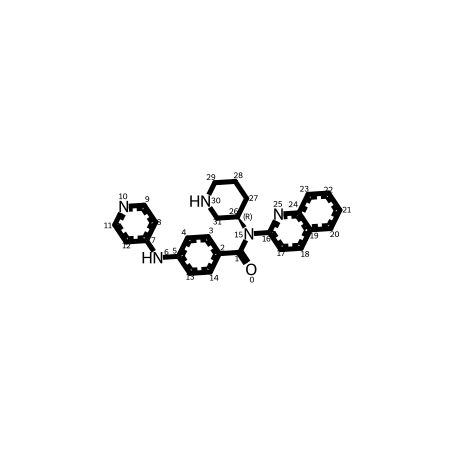 O=C(c1ccc(Nc2ccncc2)cc1)N(c1ccc2ccccc2n1)[C@@H]1CCCNC1